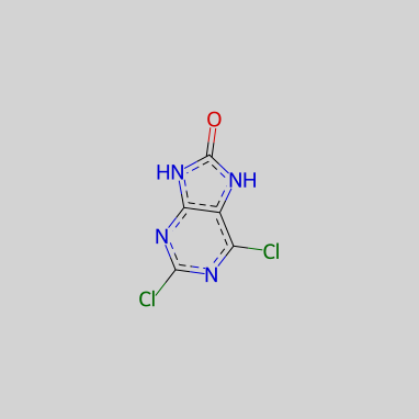 O=c1[nH]c2nc(Cl)nc(Cl)c2[nH]1